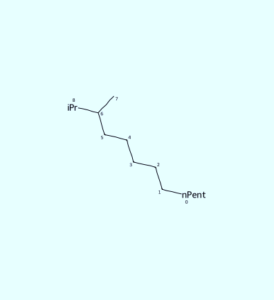 CCCCCCCCCCC(C)C(C)C